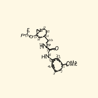 COc1cccc(NC(=O)NCc2ccnc(OC(F)F)c2)c1